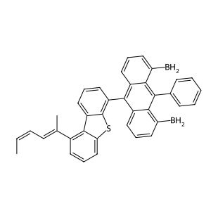 Bc1cccc2c(-c3cccc4c3sc3cccc(/C(C)=C/C=C\C)c34)c3cccc(B)c3c(-c3ccccc3)c12